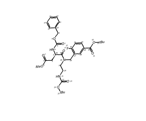 COC(=O)C[C@@H](NC(=O)OCc1ccccc1)C(=O)N(CCNC(=O)OC(C)(C)C)Cc1cc(C(=O)OC(C)(C)C)ccc1F